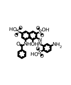 Nc1ccc(S(=O)(=O)O)c(N=Nc2c(S(=O)(=O)O)cc3cc(S(=O)(=O)O)cc(NC(=O)c4ccccc4)c3c2O)c1